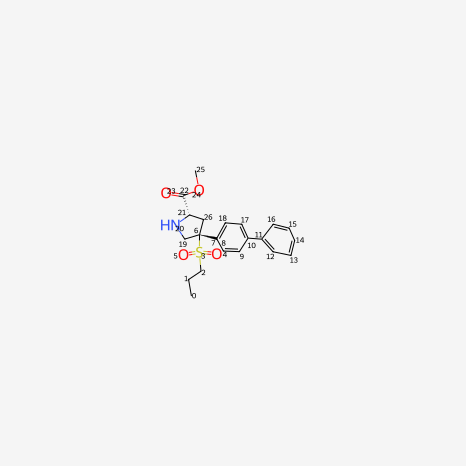 CCCS(=O)(=O)[C@]1(c2ccc(-c3ccccc3)cc2)CN[C@H](C(=O)OC)C1